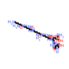 NCCCC(N)CC(=O)NCCCC(N)CC(=O)NCCCC(N)CC(=O)NCCCC(N)CC(=O)N[C@@H]1[C@H](O)[C@@H](OC(N)=O)[C@@H](CO)O[C@H]1/N=C1\N[C@@H]2[C@H](O)CNC(=O)[C@H]2N1